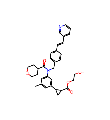 Cc1cc(C2CC2C(=O)OCCO)cc(N(Cc2ccc(/C=C/c3cccnc3)cc2)C(=O)C2CCOCC2)c1